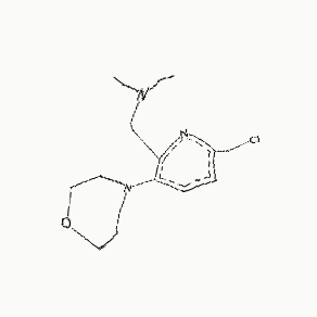 CN(C)Cc1nc(Cl)ccc1N1CCOCC1